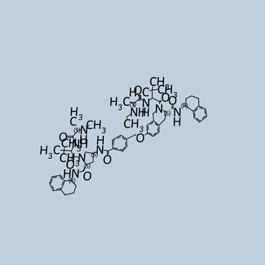 CCN[C@@H](C)C(=O)NC(C(=O)N1Cc2cc(OCc3ccc(C(=O)N[C@H]4C[C@@H](C(=O)N[C@@H]5CCCc6ccccc65)N(C(=O)C(NC(=O)[C@H](C)NC)C(C)(C)C)C4)cc3)ccc2C[C@H]1C(=O)N[C@@H]1CCCc2ccccc21)C(C)(C)C